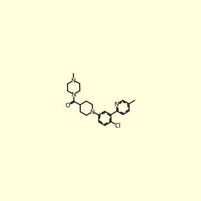 Cc1ccc(-c2cc(N3CCC(C(=O)N4CCN(C)CC4)CC3)ccc2Cl)nc1